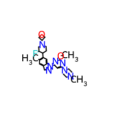 COc1nc(N2CCN(C)CC2)cc(-n2ncc3cc(C)c(C4CCN(C5COC5)CC4F)cc32)n1